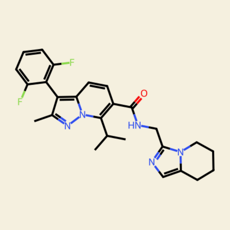 Cc1nn2c(C(C)C)c(C(=O)NCc3ncc4n3CCCC4)ccc2c1-c1c(F)cccc1F